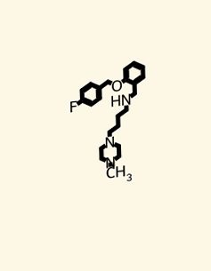 CN1CCN(CCCCNCc2ccccc2OCc2ccc(F)cc2)CC1